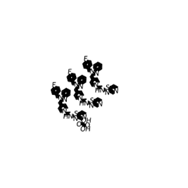 Fc1ccc(Cn2c(CC3CCN(CCNc4nc5cnccc5s4)CC3)nc3ccccc32)cc1.Fc1ccc(Cn2c(CC3CCN(CCNc4nc5cnccc5s4)CC3)nc3ccccc32)cc1.Fc1ccc(Cn2c(CC3CCN(CCNc4nc5cnccc5s4)CC3)nc3ccccc32)cc1.O=C(O)C(=O)O